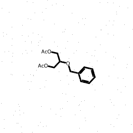 CC(=O)OCC(COC(C)=O)OCc1ccccc1